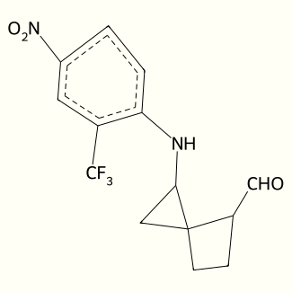 O=CC1CCC12CC2Nc1ccc([N+](=O)[O-])cc1C(F)(F)F